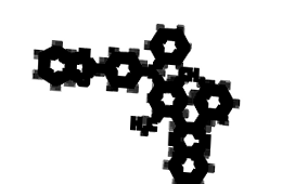 Cc1cc(N(c2ccccc2)c2ccc(-c3nc4ccccc4o3)cc2)c(C)cc1-c1nc2ccccc2nc1-c1ccccc1